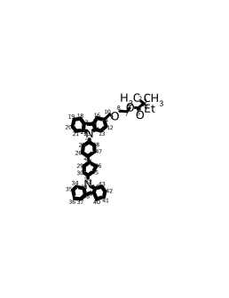 CCC(C)(C)C(=O)OCCOCc1ccc2c(c1)c1ccccc1n2-c1ccc(-c2ccc(-n3c4ccccc4c4ccccc43)cc2)cc1